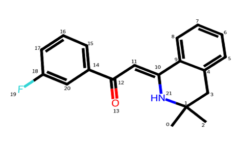 CC1(C)Cc2ccccc2/C(=C/C(=O)c2cccc(F)c2)N1